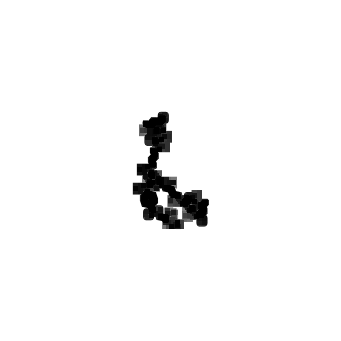 CCCCC(CC)COC(=O)c1ccc(Nc2nc(NCCCCNC(=O)Nc3nc(=O)cc(C)[nH]3)nc(NCCCCNC(=O)Nc3nc(=O)cc(C)[nH]3)n2)cc1